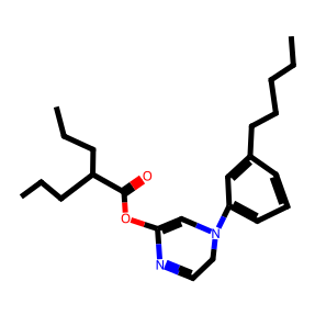 CCCCCc1cccc(N2C=C(OC(=O)C(CCC)CCC)N=CC2)c1